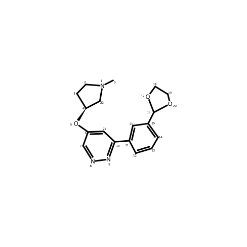 CN1CC[C@H](Oc2cnnc(-c3cccc(C4OCCO4)c3)c2)C1